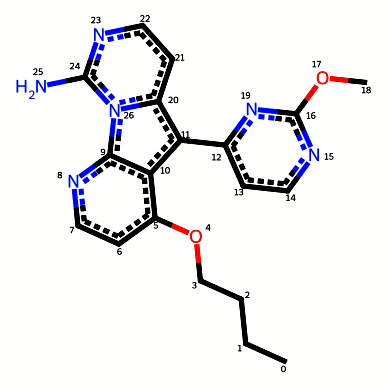 CCCCOc1ccnc2c1c(-c1ccnc(OC)n1)c1ccnc(N)n12